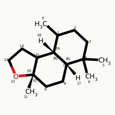 CC1CCC(C)(C)[C@@H]2CC[C@]3(C)OCCC3[C@H]12